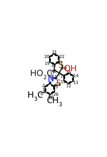 Cc1cc2nc(C(C(O)=S)(c3ccccc3)C(C(=O)O)c3ccccc3)sc2cc1C